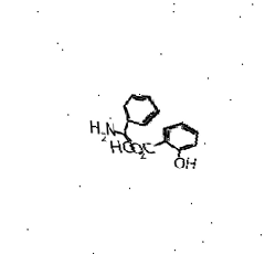 NC(=O)c1ccccc1.O=C(O)c1ccccc1O